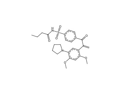 C=C(C(=O)c1ccc(S(=O)(=O)NC(=O)CCC)cc1)c1cc(N2CCCC2)c(OC)cc1OC